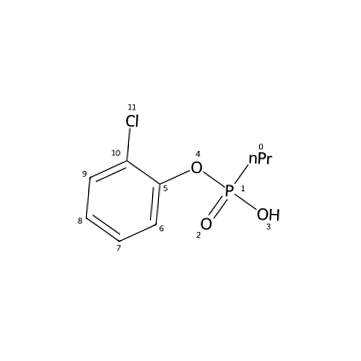 CCCP(=O)(O)Oc1ccccc1Cl